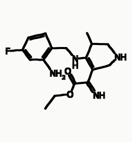 CCOC(=O)C(=N)C1=C(NCc2ccc(F)cc2N)C(C)CNC1